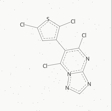 Clc1cc(-c2c(Cl)nc3ncnn3c2Cl)c(Cl)s1